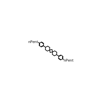 CCCCCc1ccc(C2CCC3(CC2)CC2(CCC(c4ccc(CCCCC)cc4)CC2)C3)cc1